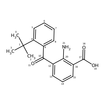 CC(C)(C)c1ccccc1C(=O)c1cccc(C(=O)O)c1N